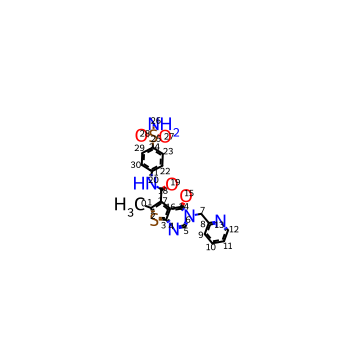 Cc1sc2ncn(Cc3ccccn3)c(=O)c2c1C(=O)Nc1ccc(S(N)(=O)=O)cc1